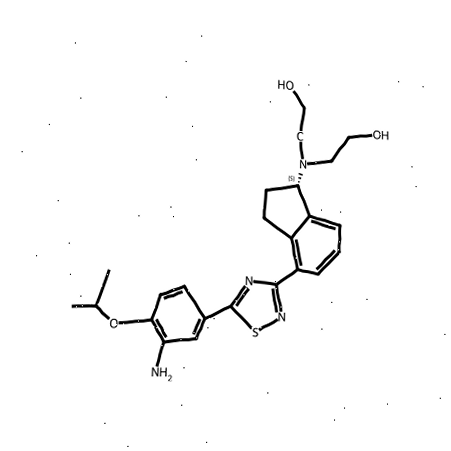 CC(C)Oc1ccc(-c2nc(-c3cccc4c3CC[C@@H]4N(CCO)CCO)ns2)cc1N